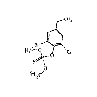 CCc1cc(Cl)c(OP(=S)(OC)OC)c(Br)c1